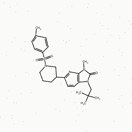 Cc1ccc(S(=O)(=O)N2CCCC(c3ccc4c(n3)n(C)c(=O)n4CC(C)(C)C)C2)cc1